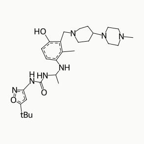 Cc1c(NC(C)NC(=O)Nc2cc(C(C)(C)C)on2)ccc(O)c1CN1CCC(N2CCN(C)CC2)CC1